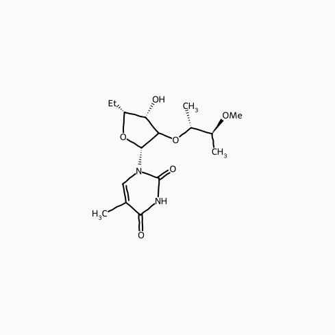 CC[C@H]1O[C@@H](n2cc(C)c(=O)[nH]c2=O)C(O[C@H](C)[C@H](C)OC)[C@H]1O